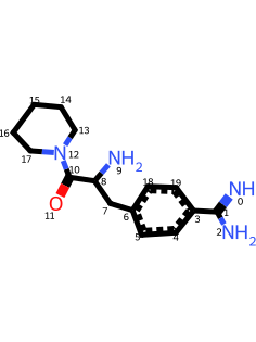 N=C(N)c1ccc(CC(N)C(=O)N2CCCCC2)cc1